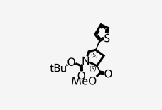 COC(=O)[C@@H]1C[C@H](c2cccs2)CN1C(=O)OC(C)(C)C